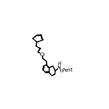 CCCCCNC1CCc2cccc(CCOCCCC3CCCC3)c2C1